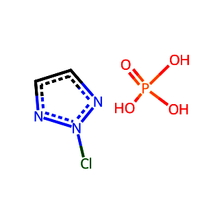 Cln1nccn1.O=P(O)(O)O